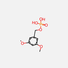 COc1cc(COP(=O)(O)O)cc(OC)c1